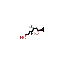 CCOC(CC(CC)CCCCO)=C1CC1